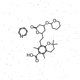 Cc1c(CCC2CC(OC3CCCCO3)CC(=O)O2)c2c(c(C)c1C(=O)O)CCC(C)(C)O2.c1ccncc1